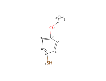 CCOc1ccc(S)cc1